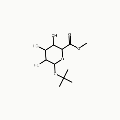 COC(=O)C1OC(OC(C)(C)C)C(O)C(O)C1O